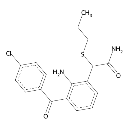 CCCSC(C(N)=O)c1cccc(C(=O)c2ccc(Cl)cc2)c1N